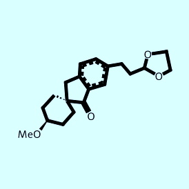 CO[C@H]1CC[C@]2(CC1)Cc1ccc(CCC3OCCO3)cc1C2=O